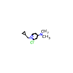 CN(C)c1cc[n+](CC2CC2)cc1.[Cl-]